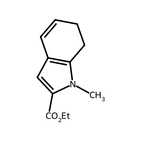 CCOC(=O)c1cc2c(n1C)CCC=C2